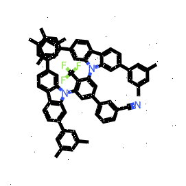 Cc1cc(C)cc(-c2ccc3c4ccc(-c5cc(C)cc(C)c5)cc4n(-c4cc(-c5cccc(C#N)c5)cc(-n5c6cc(-c7cc(C)cc(C)c7)ccc6c6ccc(-c7cc(C)cc(C)c7)cc65)c4C(F)(F)F)c3c2)c1